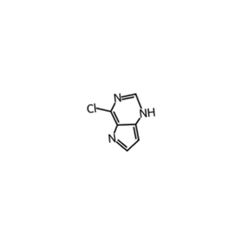 Clc1nc[nH]c2ccnc1-2